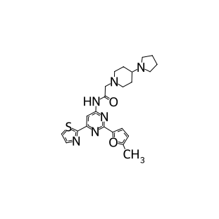 Cc1ccc(-c2nc(NC(=O)CN3CCC(N4CCCC4)CC3)cc(-c3nccs3)n2)o1